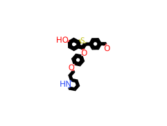 O=Cc1ccc(-c2sc3cc(O)ccc3c2Oc2ccc(OCCC3CCCCN3)cc2)cc1